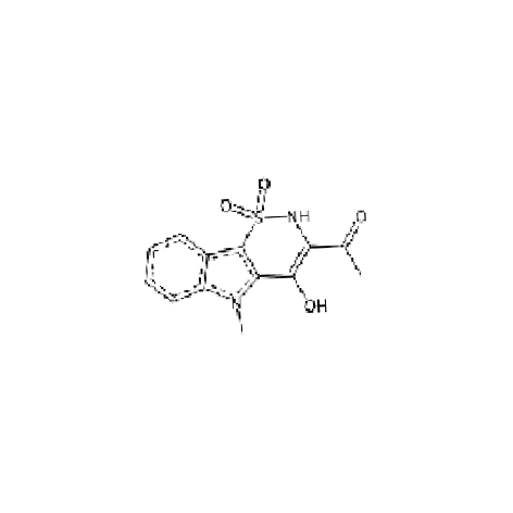 CC(=O)C1=C(O)c2c(c3ccccc3n2C)S(=O)(=O)N1